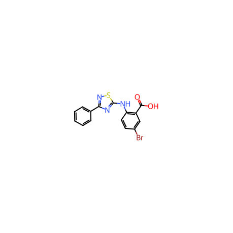 O=C(O)c1cc(Br)ccc1Nc1nc(-c2ccccc2)ns1